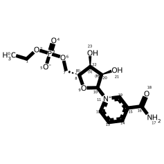 CCOP(=O)([O-])OC[C@H]1OC([n+]2cccc(C(N)=O)c2)[C@H](O)[C@@H]1O